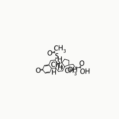 CC(=O)S[C@@H]1CC2=CC(=O)C=C[C@]2(C)[C@H]2CC[C@@]3(C)[C@@H](CC[C@@]3(O)CCC(=O)O)[C@H]12